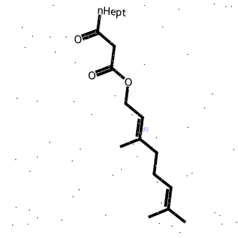 CCCCCCCC(=O)CC(=O)OC/C=C(\C)CCC=C(C)C